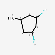 CC1CC(F)C[C@@H](F)C1